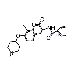 C=C/C(=C\C)C(=O)Nc1cc2ccc(OC3CCN(C)CC3)c(C)c2oc1=O